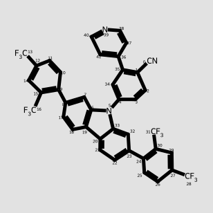 N#Cc1ccc(-n2c3cc(-c4ccc(C(F)(F)F)cc4C(F)(F)F)ccc3c3ccc(-c4ccc(C(F)(F)F)cc4C(F)(F)F)cc32)cc1-c1ccncc1